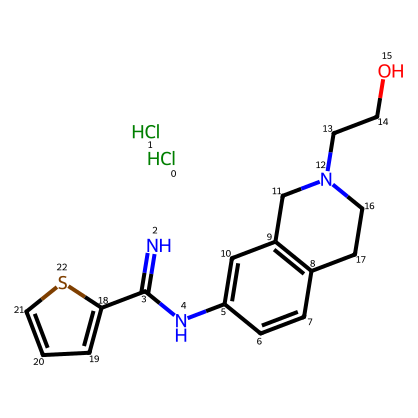 Cl.Cl.N=C(Nc1ccc2c(c1)CN(CCO)CC2)c1cccs1